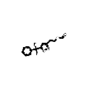 O=COCCc1cc(C(F)(F)c2ccccc2)on1